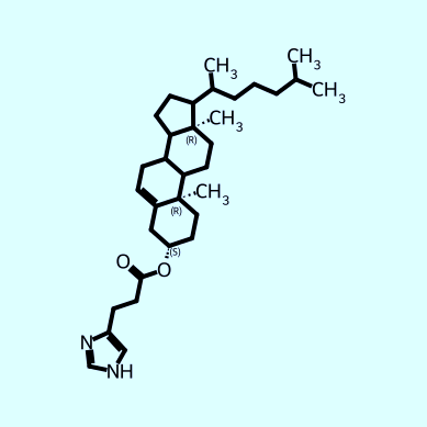 CC(C)CCCC(C)C1CCC2C3CC=C4C[C@@H](OC(=O)CCc5c[nH]cn5)CC[C@]4(C)C3CC[C@]12C